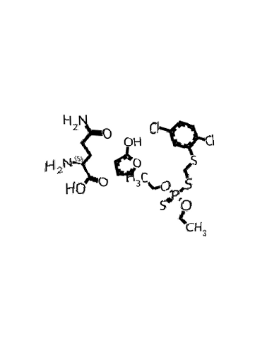 CCOP(=S)(OCC)SCSc1cc(Cl)ccc1Cl.NC(=O)CC[C@H](N)C(=O)O.Oc1ccco1